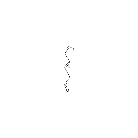 CC/[C]=C/C[S+]=O